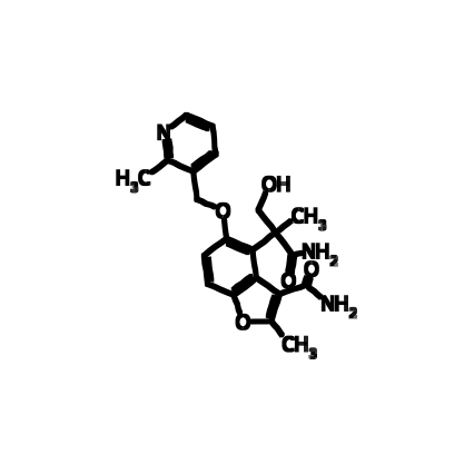 Cc1ncccc1COc1ccc2oc(C)c(C(N)=O)c2c1C(C)(CO)C(N)=O